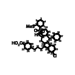 CSc1ccccc1S(=O)(=O)NCCc1c(CCCc2ccc(C(=O)O)cc2)c2cc(Cl)ccc2n1C(c1ccccc1)c1ccccc1